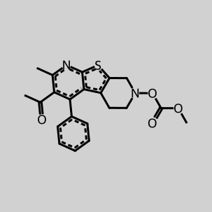 COC(=O)ON1CCc2c(sc3nc(C)c(C(C)=O)c(-c4ccccc4)c23)C1